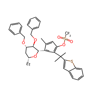 CC[C@@H]1C[C@H](OCc2ccccc2)[C@@H](OCc2ccccc2)[C@H](c2cc(C(C)(C)c3cc4ccccc4s3)c(OS(=O)(=O)C(F)(F)F)cc2C)O1